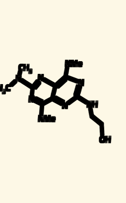 CNc1nc(N(C)C)nc2c(NC)nc(NCCO)nc12